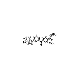 CC(C)COc1cc(Nc2nccc(N3CC[C@@](C#N)(C4CC4)C3=O)n2)ccc1C(=O)OC(C)(C)C